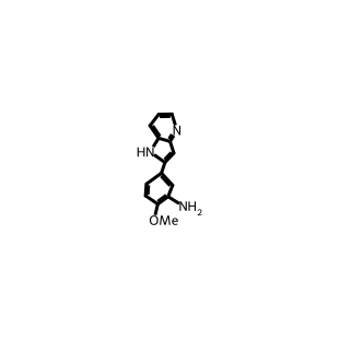 COc1ccc(-c2cc3ncccc3[nH]2)cc1N